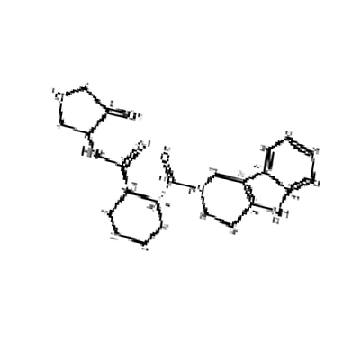 O=C1COCC1NC(=O)[C@@H]1CCCC[C@H]1C(=O)N1CCc2[nH]c3ccccc3c2C1